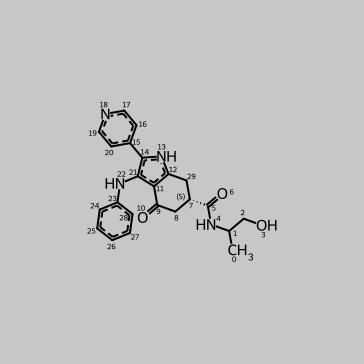 CC(CO)NC(=O)[C@@H]1CC(=O)c2c([nH]c(-c3ccncc3)c2Nc2ccccc2)C1